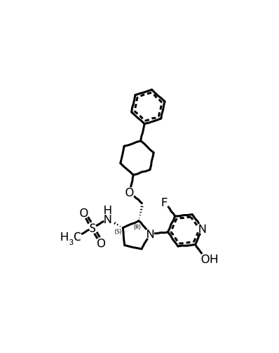 CS(=O)(=O)N[C@H]1CCN(c2cc(O)ncc2F)[C@H]1COC1CCC(c2ccccc2)CC1